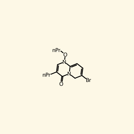 CCCON1C=C(CCC)C(=O)N2CC(Br)=CC=C12